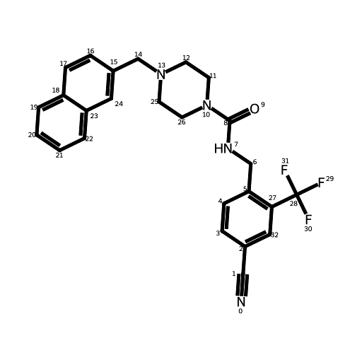 N#Cc1ccc(CNC(=O)N2CCN(Cc3ccc4ccccc4c3)CC2)c(C(F)(F)F)c1